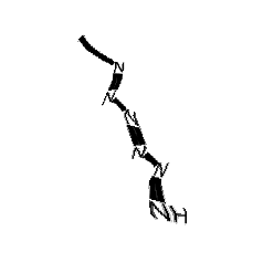 CN=NN=NN=N